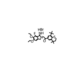 Br.CCOc1cc2c(c(F)c1OCC)C(=N)N(CC(=O)c1cc(C(C)(C)C)c3c(c1)C(C)(C)CCS3)C2